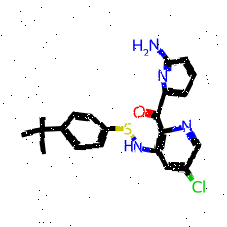 CC(C)(C)c1ccc(SNc2cc(Cl)cnc2C(=O)c2cccc(N)n2)cc1